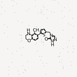 Cc1c(-c2ccc(Cn3cn[nH]c3=O)s2)ccc2c1NCCO2